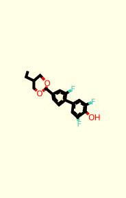 CCC1COC(c2ccc(-c3cc(F)c(O)c(F)c3)c(F)c2)OC1